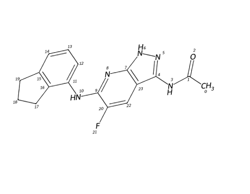 CC(=O)Nc1n[nH]c2nc(Nc3cccc4c3CCC4)c(F)cc12